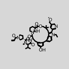 C=CC(=O)N1CC[C@H](C(=O)N(C)C(C(=O)N[C@H]2Cc3cc(O)cc(c3)-c3ccc4c(c3)c(c(-c3cncc(COC)c3)n4CC)CC(C)(C)COC(=O)[C@@H]3CCCN(N3)C2=O)C(C)C)C1